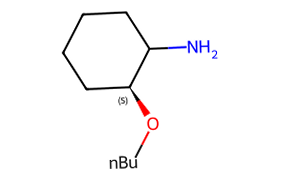 CCCCO[C@H]1CCCCC1N